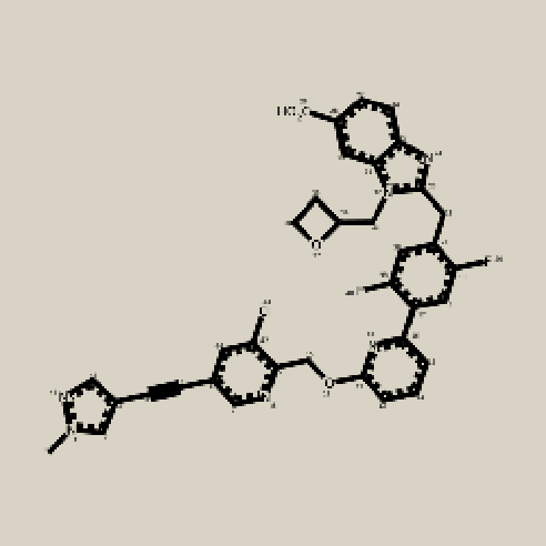 Cn1cc(C#Cc2cnc(COc3cccc(-c4cc(F)c(Cc5nc6ccc(C(=O)O)cc6n5CC5CCO5)cc4F)n3)c(Cl)c2)cn1